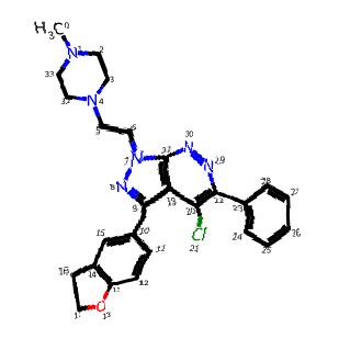 CN1CCN(CCn2nc(-c3ccc4c(c3)CCO4)c3c(Cl)c(-c4ccccc4)nnc32)CC1